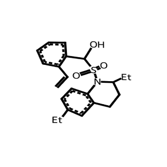 C=Cc1ccccc1C(O)S(=O)(=O)N1c2ccc(CC)cc2CCC1CC